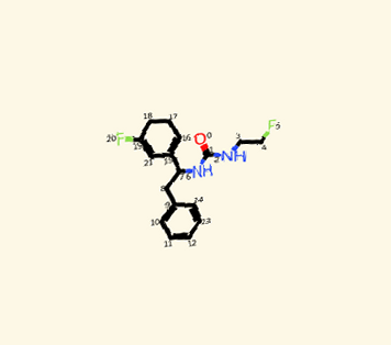 O=C(NCCF)NC(Cc1ccccc1)C1=CCCC(F)=C1